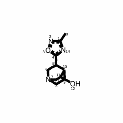 Cc1noc(C2CN3CCC2C(O)C3)n1